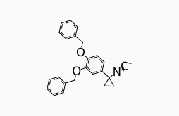 [C-]#[N+]C1(c2ccc(OCc3ccccc3)c(OCc3ccccc3)c2)CC1